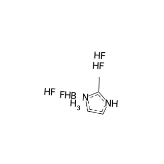 B.Cc1ncc[nH]1.F.F.F.F